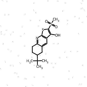 CC(C)(C)C1CCc2nc3sc(S(C)(=O)=O)c(O)c3cc2C1